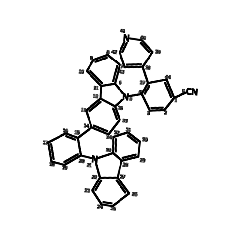 N#Cc1ccc(-n2c3ccccc3c3cc(-c4ccccc4-n4c5ccccc5c5ccccc54)ccc32)c(-c2ccncc2)c1